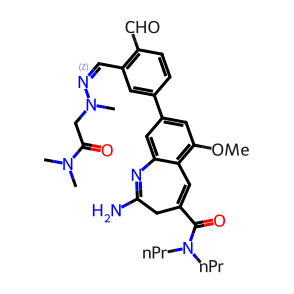 CCCN(CCC)C(=O)C1=Cc2c(cc(-c3ccc(C=O)c(/C=N\N(C)CC(=O)N(C)C)c3)cc2OC)N=C(N)C1